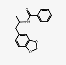 CC(Cc1ccc2c(c1)OCO2)NC(=O)c1ccccc1